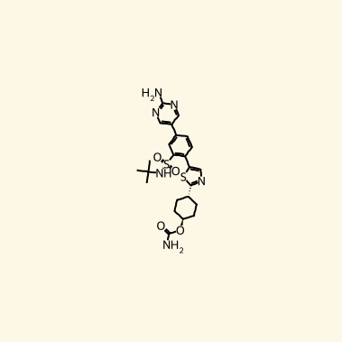 CC(C)(C)NS(=O)(=O)c1cc(-c2cnc(N)nc2)ccc1-c1cnc([C@H]2CC[C@H](OC(N)=O)CC2)s1